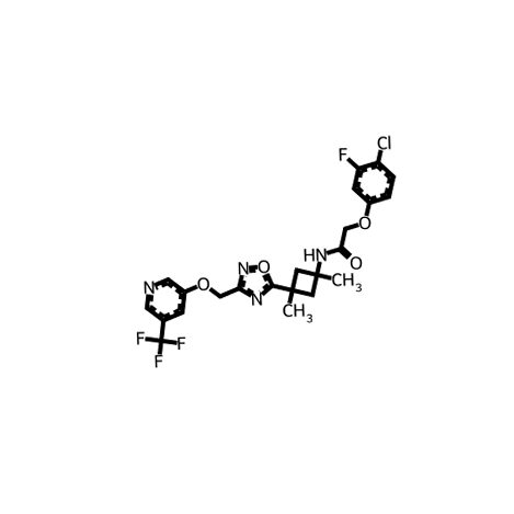 CC1(NC(=O)COc2ccc(Cl)c(F)c2)CC(C)(c2nc(COc3cncc(C(F)(F)F)c3)no2)C1